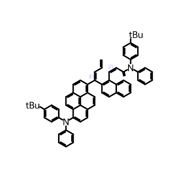 C=C/C=C(\c1ccc2ccccc2c1/C=C\C(=C)N(c1ccccc1)c1ccc(C(C)(C)C)cc1)c1ccc2ccc3c(N(c4ccccc4)c4ccc(C(C)(C)C)cc4)ccc4ccc1c2c43